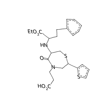 CCOC(=O)C(CCc1ccccc1)NC1CSC(c2cccs2)CN(CCC(=O)O)C1=O